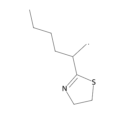 [CH2]C(CCCC)C1=NCCS1